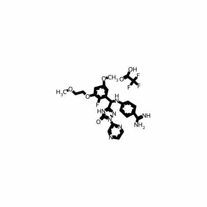 COCCOc1cc(OC)cc(C(Nc2ccc(C(=N)N)cc2)c2nn(-c3cnccn3)c(=O)[nH]2)c1F.O=C(O)C(F)(F)F